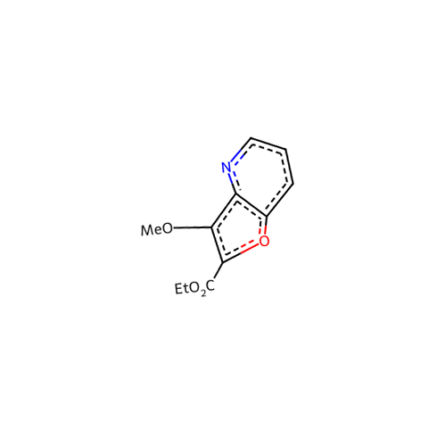 CCOC(=O)c1oc2cccnc2c1OC